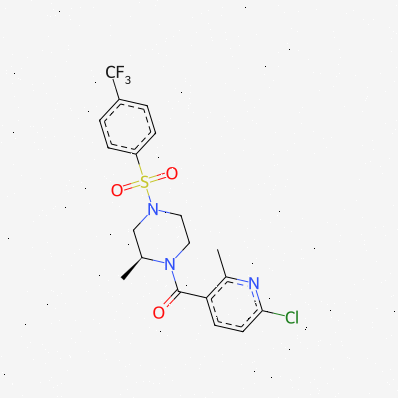 Cc1nc(Cl)ccc1C(=O)N1CCN(S(=O)(=O)c2ccc(C(F)(F)F)cc2)C[C@@H]1C